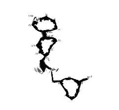 O=C(NCc1cccc(F)c1)c1ccc(-c2cccnc2)cc1